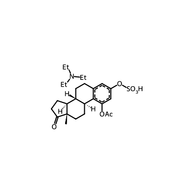 CC(=O)Oc1cc(OS(=O)(=O)O)cc2c1[C@H]1CC[C@]3(C)C(=O)CC[C@H]3[C@@H]1CC2.CCN(CC)CC